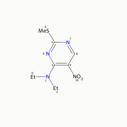 CCN(CC)c1nc(SC)ncc1[N+](=O)[O-]